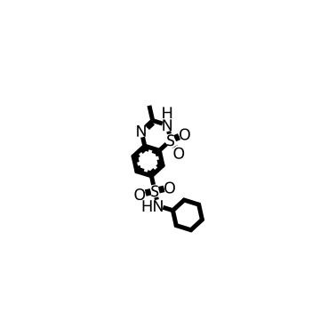 CC1=Nc2ccc(S(=O)(=O)NC3CCCCC3)cc2S(=O)(=O)N1